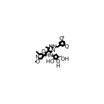 COc1cc(CNc2nc(C)c(-c3cc4cc(OC)nc(C)c4o3)c(N[C@@H]3C[C@H](CO)[C@@H](O)[C@H]3O)n2)cc(OC)c1